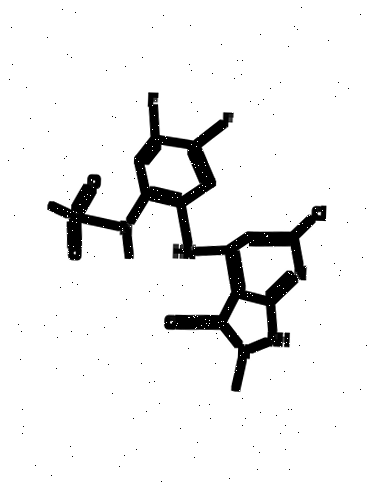 CN(c1cc(F)c(F)cc1Nc1cc(Cl)nc2[nH]n(C)c(=O)c12)S(C)(=O)=O